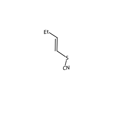 CC/C=C/SC#N